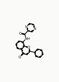 O=C(Nc1cccc2c(=O)cc(-c3ccccc3)oc12)c1cnccn1